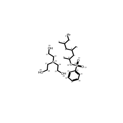 CC(C)CC(C)CC(C)CC(C)OS(=O)(=O)c1ccccc1.OCCN(CCO)CCO